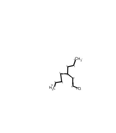 [CH2]CCC(CCCl)CCCC